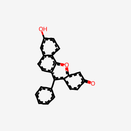 O=c1ccc2c(-c3ccccc3)c3ccc4cc(O)ccc4c3oc-2c1